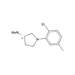 CCc1ccc(C)cc1N1CC[C@H](NC)C1